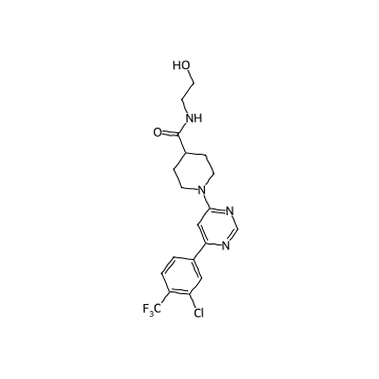 O=C(NCCO)C1CCN(c2cc(-c3ccc(C(F)(F)F)c(Cl)c3)ncn2)CC1